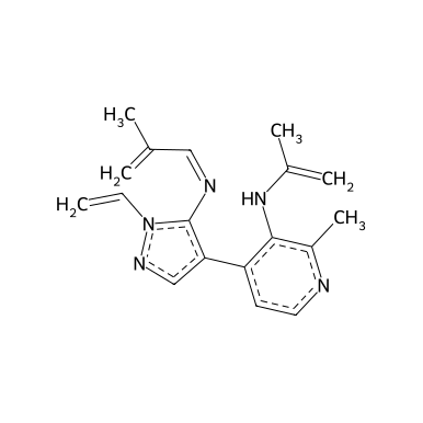 C=Cn1ncc(-c2ccnc(C)c2NC(=C)C)c1/N=C\C(=C)C